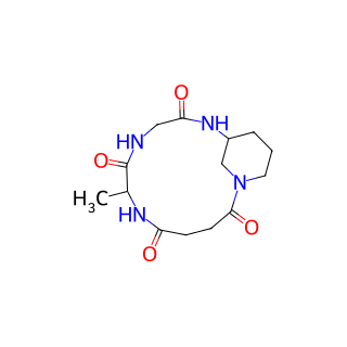 CC1NC(=O)CCC(=O)N2CCCC(C2)NC(=O)CNC1=O